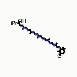 CC1=C(/C=C/C(C)=C/C=C/C(C)=C/C=C/C=C(C)/C=C/C=C(C)/C=C/C=C(C)/C=C/C(O)C(C)C)C(C)(C)CCC1=O